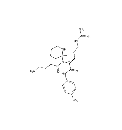 CC1(N(C(=O)CCCN)[C@@H](CCCNC(=N)N)C(=O)Nc2ccc([N+](=O)[O-])cc2)CCCCN1